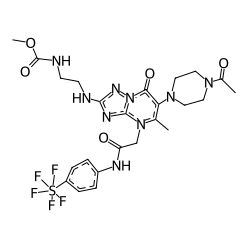 COC(=O)NCCNc1nc2n(CC(=O)Nc3ccc(S(F)(F)(F)(F)F)cc3)c(C)c(N3CCN(C(C)=O)CC3)c(=O)n2n1